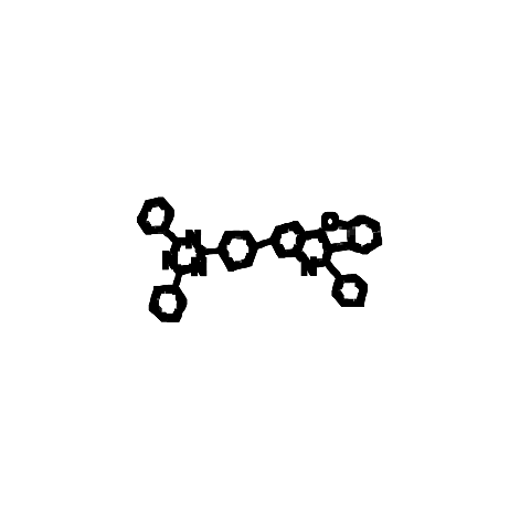 c1ccc(-c2nc(-c3ccccc3)nc(-c3ccc(-c4ccc5c(c4)nc(-c4ccccc4)c4c6ccccc6oc54)cc3)n2)cc1